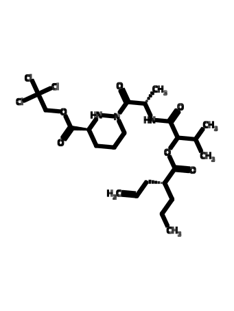 C=CC[C@@H](CCC)C(=O)OC(C(=O)N[C@@H](C)C(=O)N1CCC[C@@H](C(=O)OCC(Cl)(Cl)Cl)N1)C(C)C